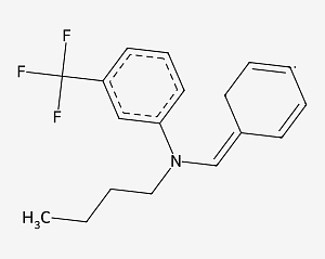 CCCCN(C=C1C=C[C]=CC1)c1cccc(C(F)(F)F)c1